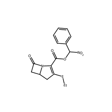 CCSC1=C(C(=O)OC(c2ccccc2)[N+](=O)[O-])N2C(=O)CC2C1